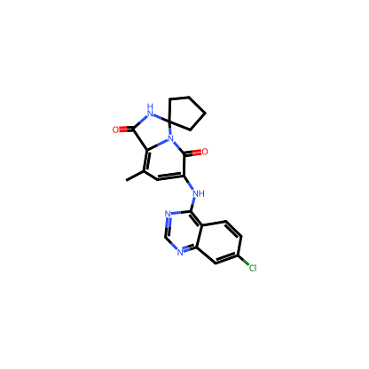 Cc1cc(Nc2ncnc3cc(Cl)ccc23)c(=O)n2c1C(=O)NC21CCCC1